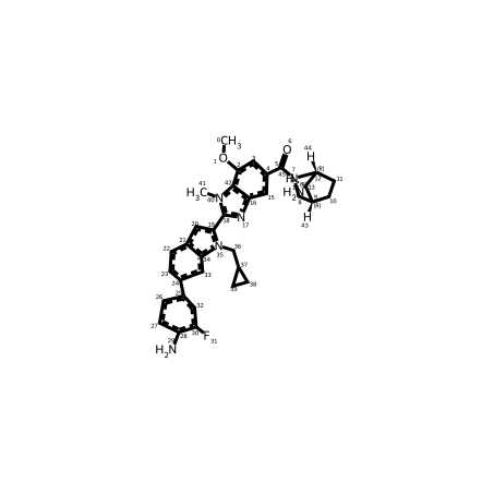 COc1cc(C(=O)N2C[C@H]3CC[C@@H]2[C@@H]3N)cc2nc(-c3cc4ccc(-c5ccc(N)c(F)c5)cc4n3CC3CC3)n(C)c12